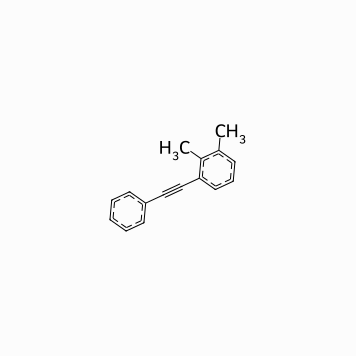 Cc1cccc(C#Cc2ccccc2)c1C